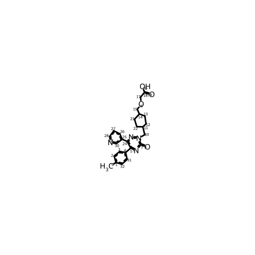 Cc1ccc(-c2nc(=O)n(CC3CCC(COCC(=O)O)CC3)nc2-c2cccnc2)cc1